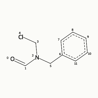 O=CN(CCl)Cc1ccccc1